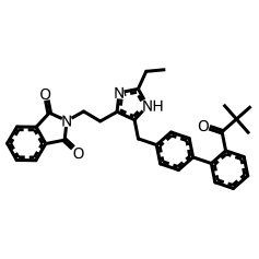 CCc1nc(CCN2C(=O)c3ccccc3C2=O)c(Cc2ccc(-c3ccccc3C(=O)C(C)(C)C)cc2)[nH]1